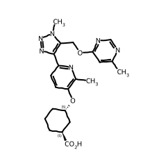 Cc1cc(OCc2c(-c3ccc(O[C@H]4CCC[C@H](C(=O)O)C4)c(C)n3)nnn2C)ncn1